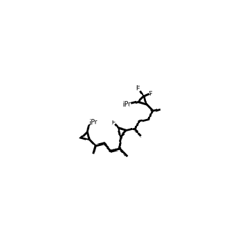 CC(C)C1CC1C(C)CCC(C)C1C(F)C1C(C)CCC(C)C1C(C(C)C)C1(F)F